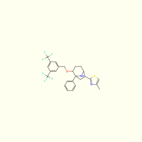 Cc1csc(C2CC3(c4ccccc4)NC2CCC3OCc2cc(C(F)(F)F)cc(C(F)(F)F)c2)n1